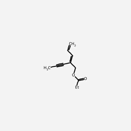 C=C/C=C(\C#CC)COC(=O)CC